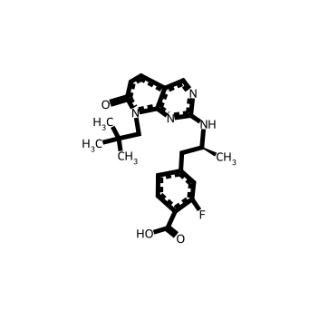 C[C@@H](Cc1ccc(C(=O)O)c(F)c1)Nc1ncc2ccc(=O)n(CC(C)(C)C)c2n1